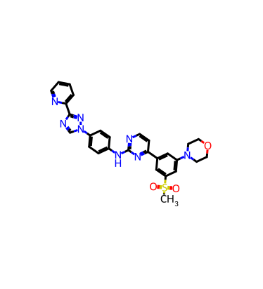 CS(=O)(=O)c1cc(-c2ccnc(Nc3ccc(-n4cnc(-c5ccccn5)n4)cc3)n2)cc(N2CCOCC2)c1